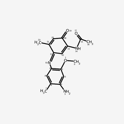 COc1cc(N)c(C)cc1N=C1C=C(NC(C)=O)C(=O)C=C1C